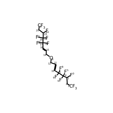 FC(CC(F)(F)F)C(F)(F)C(F)(F)C=CCOCC=CC(F)(F)C(F)(F)C(F)CC(F)(F)F